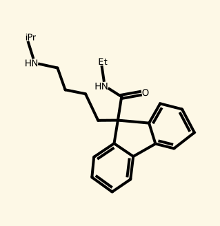 CCNC(=O)C1(CCCCNC(C)C)c2ccccc2-c2ccccc21